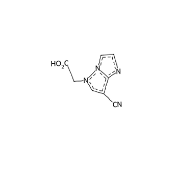 N#Cc1cn(CC(=O)O)n2ccnc12